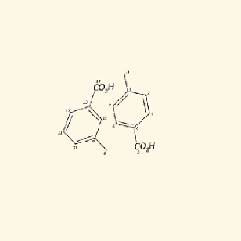 Cc1ccc(C(=O)O)cc1.Cc1cccc(C(=O)O)c1